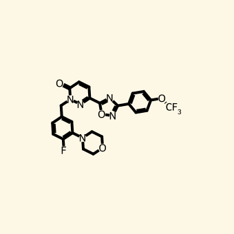 O=c1ccc(-c2nc(-c3ccc(OC(F)(F)F)cc3)no2)nn1Cc1ccc(F)c(N2CCOCC2)c1